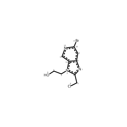 OCCn1c(CCl)nc2cc(Br)ncc21